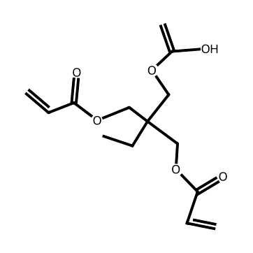 C=CC(=O)OCC(CC)(COC(=C)O)COC(=O)C=C